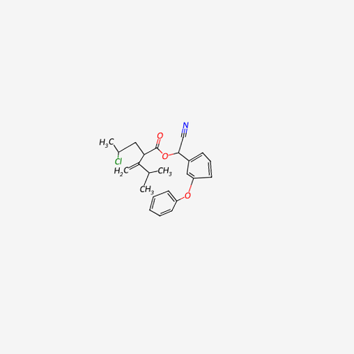 C=C(C(C)C)C(CC(C)Cl)C(=O)OC(C#N)c1cccc(Oc2ccccc2)c1